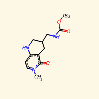 Cn1ccc2c(c1=O)CC(CNC(=O)OC(C)(C)C)CN2